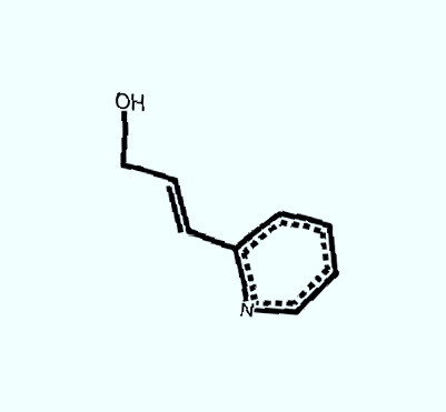 OCC=Cc1ccccn1